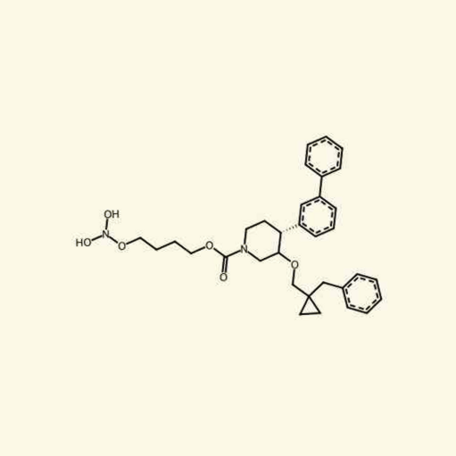 O=C(OCCCCON(O)O)N1CC[C@H](c2cccc(-c3ccccc3)c2)C(OCC2(Cc3ccccc3)CC2)C1